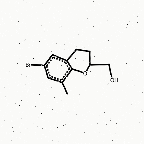 Cc1cc(Br)cc2c1OC(CO)CC2